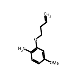 C=CCCOc1cc(OC)ccc1N